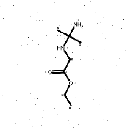 CCOC(=O)CNC(C)(C)N